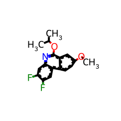 COc1ccc2c(c1)c(OC(C)C)nc1cc(F)c(F)cc12